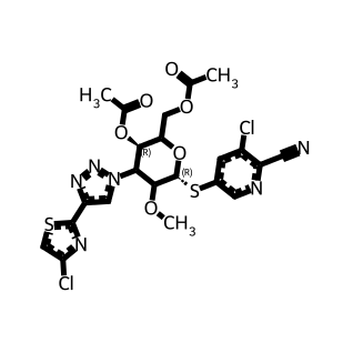 COC1C(n2cc(-c3nc(Cl)cs3)nn2)[C@@H](OC(C)=O)C(COC(C)=O)O[C@@H]1Sc1cnc(C#N)c(Cl)c1